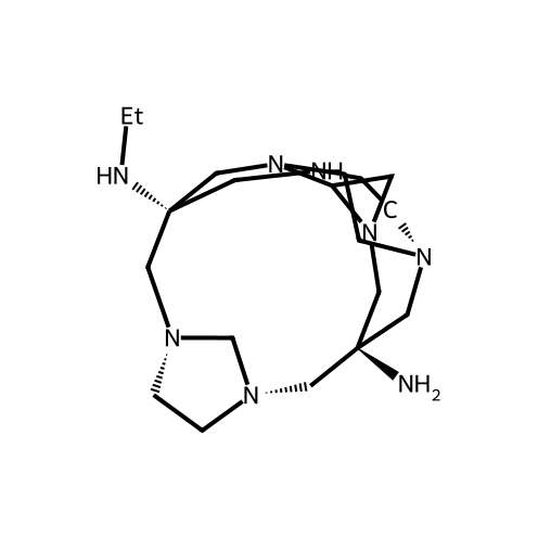 CCN[C@@]12CNCC[N@@]3CCN(C1)C1CN1C[C@](N)(C3)C[N@]1CC[N@@](C1)C2